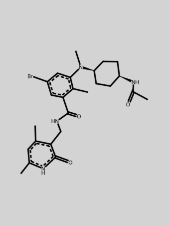 CC(=O)N[C@H]1CC[C@@H](N(C)c2cc(Br)cc(C(=O)NCc3c(C)cc(C)[nH]c3=O)c2C)CC1